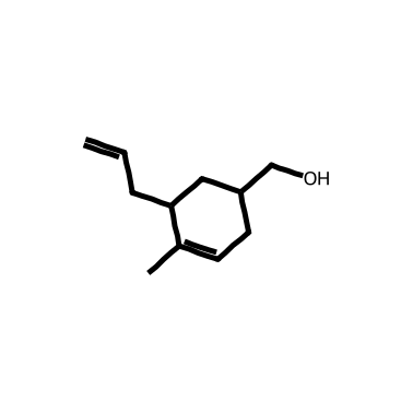 C=CCC1CC(CO)CC=C1C